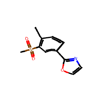 Cc1ccc(-c2ncco2)cc1S(C)(=O)=O